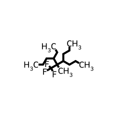 CCCC(CC)C(C)(C(CCC)CCC)C(F)(F)F